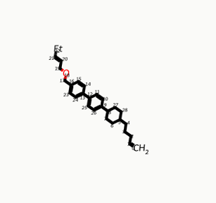 C=CCCCC1CCC(c2ccc(-c3ccc(COCC=CCC)cc3)cc2)CC1